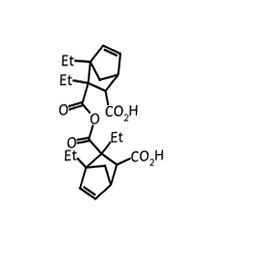 CCC12C=CC(C1)C(C(=O)O)C2(CC)C(=O)OC(=O)C1(CC)C(C(=O)O)C2C=CC1(CC)C2